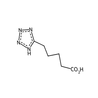 O=C(O)CCCCc1nnn[nH]1